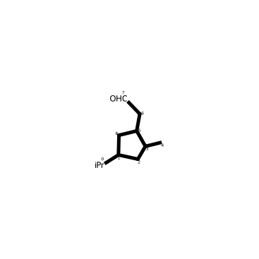 CC(C)C1CC(C)C(CC=O)C1